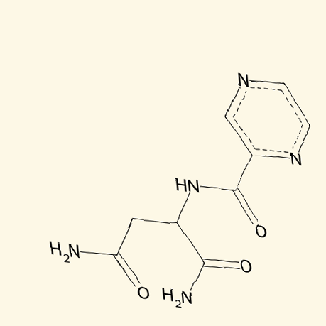 NC(=O)CC(NC(=O)c1cnccn1)C(N)=O